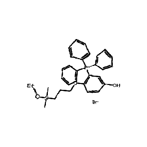 CCO[Si](C)(C)CCCOc1ccc(O)cc1[P+](c1ccccc1)(c1ccccc1)c1ccccc1.[Br-]